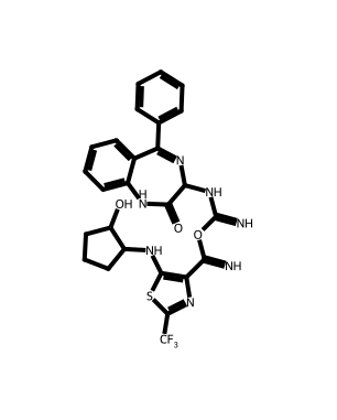 N=C(NC1N=C(c2ccccc2)c2ccccc2NC1=O)OC(=N)c1nc(C(F)(F)F)sc1NC1CCCC1O